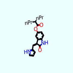 CCCC(CCC)C(=O)Oc1ccc2c(c1)/C(=C/c1ccc[nH]1)C(=O)N2